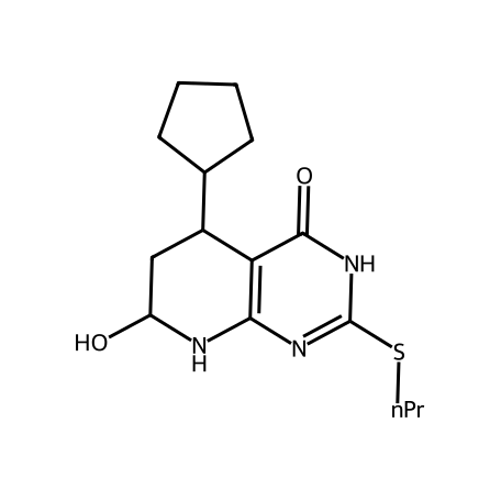 CCCSc1nc2c(c(=O)[nH]1)C(C1CCCC1)CC(O)N2